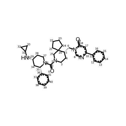 O=C(N1CC[C@@H](Cn2cnc(-c3ccccc3)cc2=O)C2(CCCC2)C1)N1CC[C@@H](NC2CC2)C[C@H]1c1ccccc1